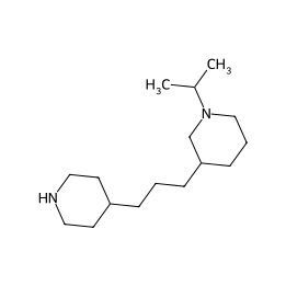 CC(C)N1CCCC(CCCC2CCNCC2)C1